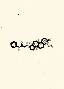 CN1C(=O)CC[C@@]2(C)C1CC[C@H]1[C@@H]3CC[C@H](CCC(=O)Nc4ccccc4)[C@@]3(C)CC[C@@H]12